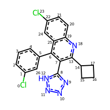 Clc1cccc(-c2c(-c3nnn[nH]3)c(C3CCC3)nc3ccc(Cl)cc23)c1